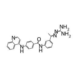 C/C(=N\N=C(N)N)c1cccc(NC(=O)c2ccc(Nc3ccnc4ccccc34)cc2)c1